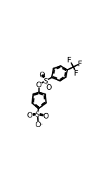 [O]S(=O)(=O)c1ccc(OS(=O)(=O)c2ccc(C(F)(F)F)cc2)cc1